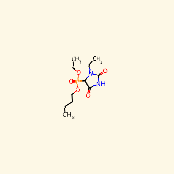 CCCCOP(=O)(OCC)C1C(=O)NC(=O)N1CC